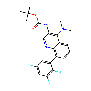 CN(C)c1c(NC(=O)OC(C)(C)C)cnc2c(-c3cc(F)cc(F)c3F)cccc12